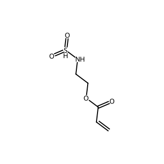 C=CC(=O)OCCN[SH](=O)=O